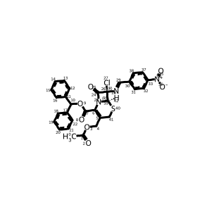 CC(=O)OCC1=C(C(=O)OC(c2ccccc2)c2ccccc2)N2C(=O)[C@](Cl)(N=Cc3ccc([N+](=O)[O-])cc3)[C@H]2SC1